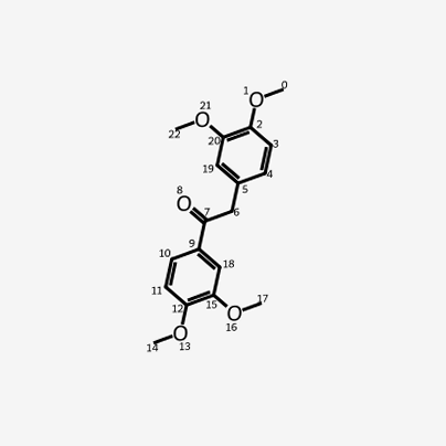 COc1ccc(CC(=O)c2ccc(OC)c(OC)c2)cc1OC